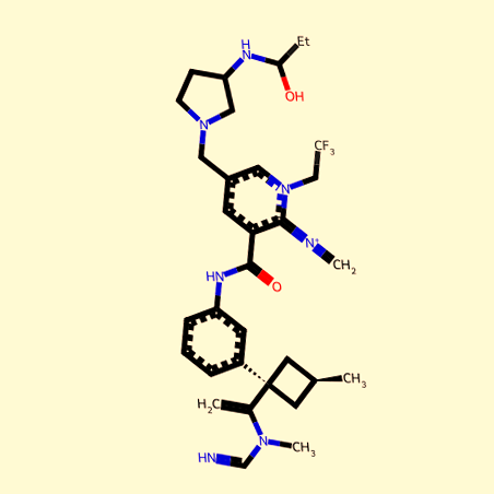 C=[N+]=c1c(C(=O)Nc2cccc([C@]3(C(=C)N(C)C=N)C[C@@H](C)C3)c2)cc(CN2CCC(NC(O)CC)C2)cn1CC(F)(F)F